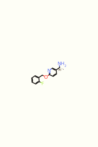 C[C@@H](N)c1ccc(OCc2ccccc2F)nc1